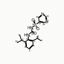 CC(C)c1cccc(C(C)C)c1NC(=O)NS(=O)(=O)c1cncnc1